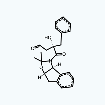 CC1(C)O[C@@H]2Cc3ccccc3[C@@H]2N1C(=O)[C@@](O)(CC=O)Cc1ccccc1